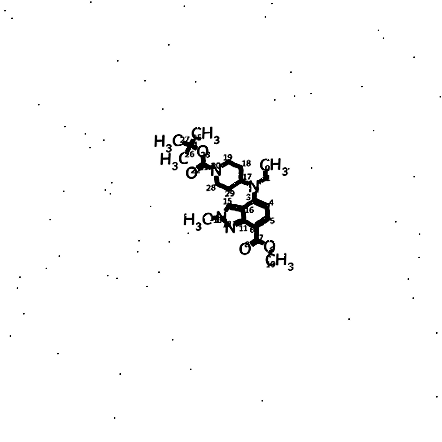 CCN(c1ccc(C(=O)OC)c2nn(C)cc12)C1CCN(C(=O)OC(C)(C)C)CC1